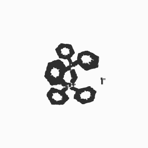 C(=P(c1ccccc1)(c1ccccc1)c1ccccc1)[P+](c1ccccc1)(c1ccccc1)c1ccccc1.[I-]